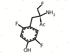 CC(=O)[C@](N)(CF)Cc1cc(F)c(O)cc1F